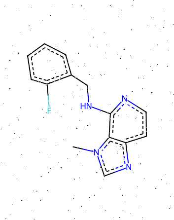 Cn1cnc2ccnc(NCc3ccccc3F)c21